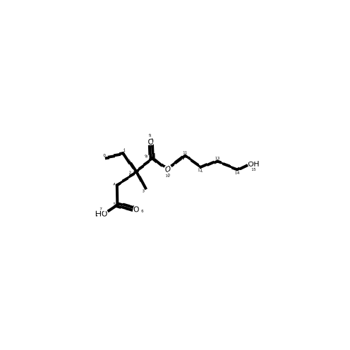 CCC(C)(CC(=O)O)C(=O)OCCCCO